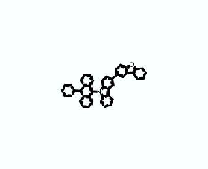 c1ccc(-c2c3ccccc3c(-n3c4ccccc4c4cc(-c5ccc6oc7ccccc7c6c5)ccc43)c3ccccc23)cc1